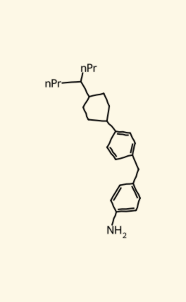 CCCC(CCC)C1CCC(c2ccc(Cc3ccc(N)cc3)cc2)CC1